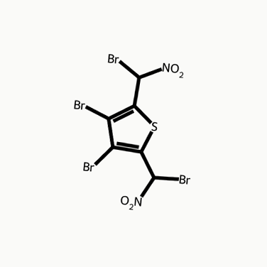 O=[N+]([O-])C(Br)c1sc(C(Br)[N+](=O)[O-])c(Br)c1Br